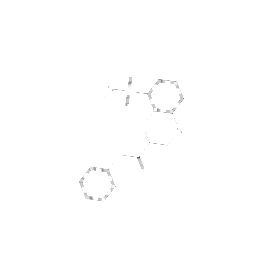 NS(=O)(=O)c1cccc2c1SC(C(=O)Oc1ccccc1)CN2